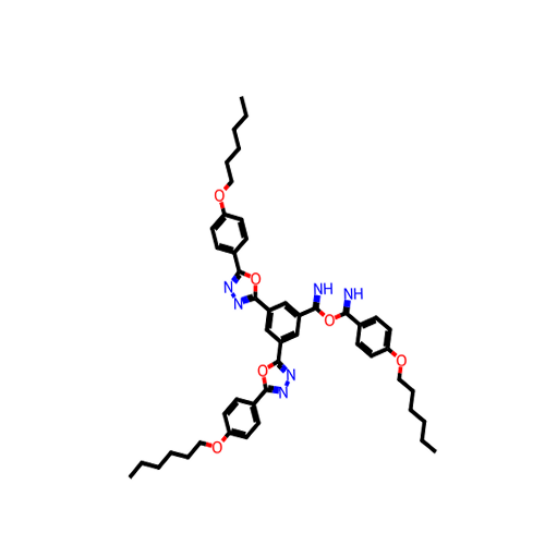 CCCCCCOc1ccc(C(=N)OC(=N)c2cc(-c3nnc(-c4ccc(OCCCCCC)cc4)o3)cc(-c3nnc(-c4ccc(OCCCCCC)cc4)o3)c2)cc1